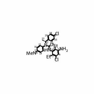 CCc1c(N)cc(Cl)c(CC)c1NC(=O)N(c1ccc(NC)cc1)[C@@H](C)c1ccc(Cl)cc1